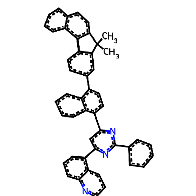 CC1(C)c2cc(-c3ccc(-c4cc(-c5cccc6ncccc56)nc(-c5ccccc5)n4)c4ccccc34)ccc2-c2c1ccc1ccccc21